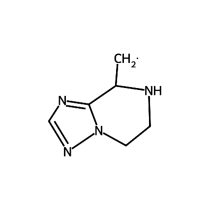 [CH2]C1NCCn2ncnc21